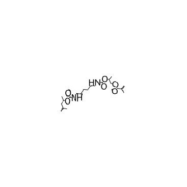 C=C(C)CC(C)OC(=O)NCCCCCCNC(=O)OC(C)COC(=O)C(=C)C